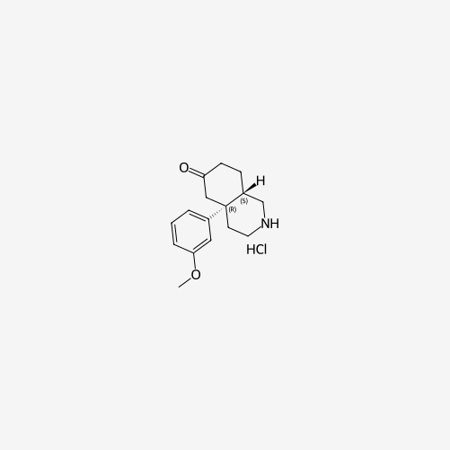 COc1cccc([C@@]23CCNC[C@H]2CCC(=O)C3)c1.Cl